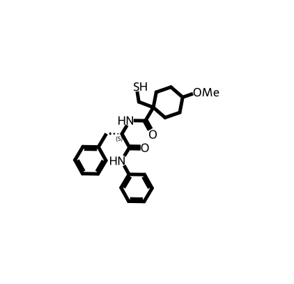 COC1CCC(CS)(C(=O)N[C@@H](Cc2ccccc2)C(=O)Nc2ccccc2)CC1